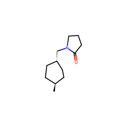 C[C@H]1CC[C@H](CN2CCCC2=O)CC1